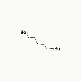 C[CH]C(C)CCCCCC(C)CC